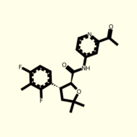 CC(=O)c1cc(NC(=O)[C@H]2OC(C)(C)C[C@@H]2c2ccc(F)c(C)c2F)ccn1